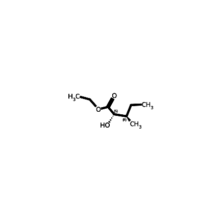 CCOC(=O)[C@@H](O)[C@H](C)CC